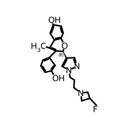 CC1=C(c2cccc(O)c2)[C@H](c2cnn(CCCN3CC(CF)C3)c2)Oc2ccc(O)cc21